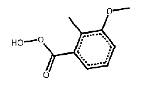 COc1cccc(C(=O)OO)c1C